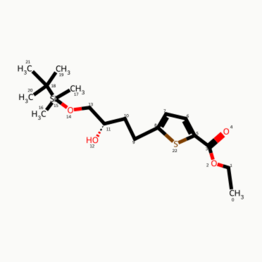 CCOC(=O)c1ccc(CC[C@H](O)CO[Si](C)(C)C(C)(C)C)s1